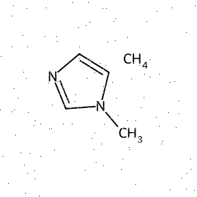 C.Cn1ccnc1